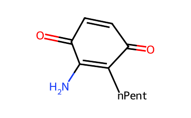 CCCCCC1=C(N)C(=O)C=CC1=O